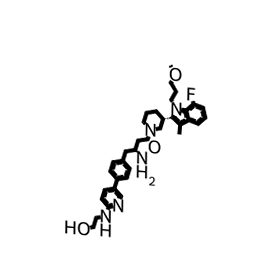 COCCCn1c([C@H]2CCCN(C(=O)C[C@H](N)Cc3ccc(-c4ccc(NCCO)nc4)cc3)C2)c(C)c2cccc(F)c21